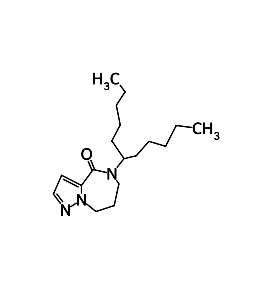 CCCCCC(CCCCC)N1CCCn2nccc2C1=O